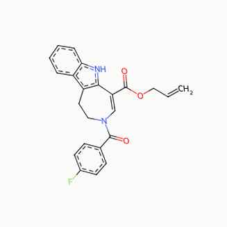 C=CCOC(=O)C1=CN(C(=O)c2ccc(F)cc2)CCc2c1[nH]c1ccccc21